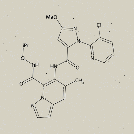 COc1cc(C(=O)Nc2c(C)cc3ccnn3c2C(=O)NOC(C)C)n(-c2ncccc2Cl)n1